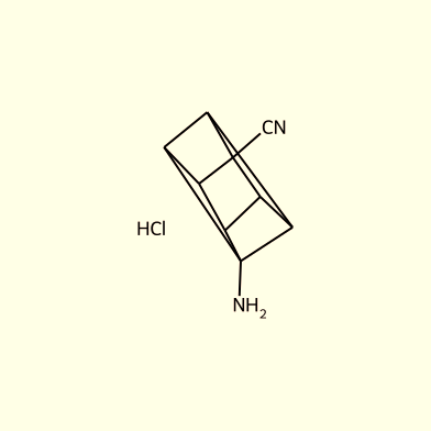 Cl.N#CC12C3C4C1C1C2C3C41N